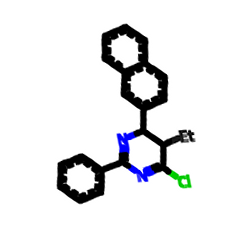 CCC1C(Cl)=NC(c2ccccc2)=NC1c1ccc2ccccc2c1